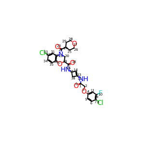 O=C(COc1ccc(Cl)c(F)c1)NC1=CC(NC(=O)C2CN(C(=O)C3CCOCC3)c3cc(Cl)ccc3O2)C1